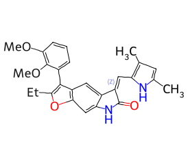 CCc1oc2cc3c(cc2c1-c1cccc(OC)c1OC)/C(=C/c1[nH]c(C)cc1C)C(=O)N3